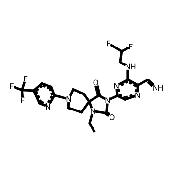 CCN1C(=O)N(c2cnc(C=N)c(NCC(F)F)n2)C(=O)C12CCN(c1ccc(C(F)(F)F)cn1)CC2